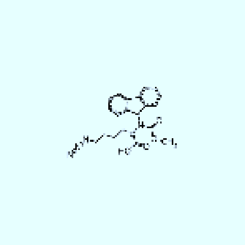 COC(=O)N(C1c2ccccc2-c2ccccc21)[C@@H](CCCCN=[N+]=[N-])C(=O)O